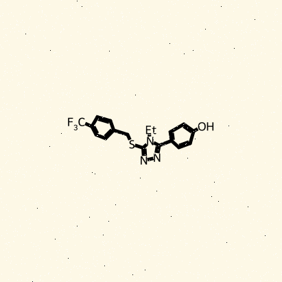 CCn1c(SCc2ccc(C(F)(F)F)cc2)nnc1-c1ccc(O)cc1